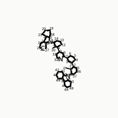 Cc1c(-c2cccc(-c3cc(-c4cccc(-n5c6ccccc6c6ccccc65)c4C)ccn3)c2)cccc1-n1c2ccccc2c2ccccc21